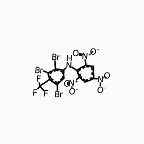 O=[N+]([O-])c1cc([N+](=O)[O-])c(Nc2cc(Br)c(C(F)(F)F)c(Br)c2Br)c([N+](=O)[O-])c1